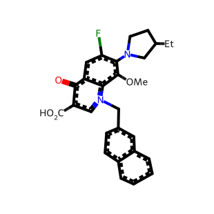 CCC1CCN(c2c(F)cc3c(=O)c(C(=O)O)cn(Cc4ccc5ccccc5c4)c3c2OC)C1